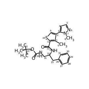 Cc1c(-c2ccnn2C)csc1C(=O)NC(CNC(=O)OC(C)(C)C)Cc1ccccc1